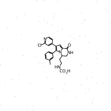 Cc1cccc(-c2c(-c3ccnc(Cl)c3)cc3n2C(CCNC(=O)O)CNC3=O)c1